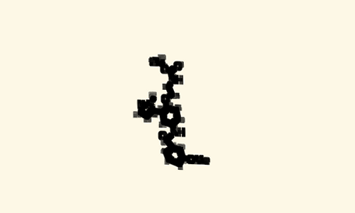 COc1cccc(C(=O)Nc2ccc(OCCNC(=O)OC(C)(C)C)c(-c3ccnn3C)c2)c1